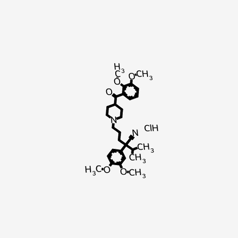 COc1ccc(C(C#N)(CCCN2CCC(C(=O)c3cccc(OC)c3OC)CC2)C(C)C)cc1OC.Cl